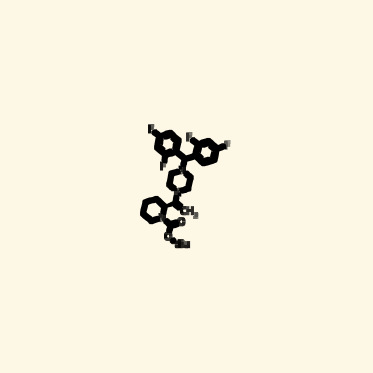 C=C([C@@H]1CCCCN1C(=O)OC(C)(C)C)N1CCN(C(c2ccc(F)cc2F)c2ccc(F)cc2F)CC1